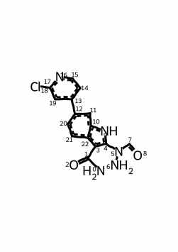 NC(=O)c1c(N(N)C=O)[nH]c2cc(-c3ccnc(Cl)c3)ccc12